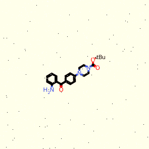 CC(C)(C)OC(=O)N1CCN(c2ccc(C(=O)c3ccccc3N)cc2)CC1